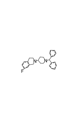 Fc1ccc2c(c1)CN(C1CCN(C(c3ccccc3)c3ccccc3)CC1)CC2